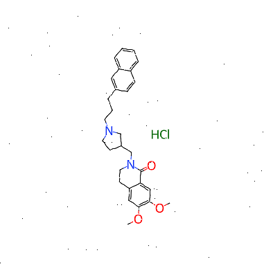 COc1cc2c(cc1OC)C(=O)N(CC1CCN(CCCc3ccc4ccccc4c3)C1)CC2.Cl